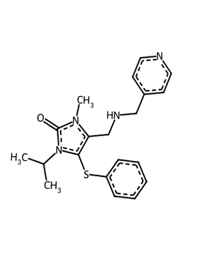 CC(C)n1c(Sc2ccccc2)c(CNCc2ccncc2)n(C)c1=O